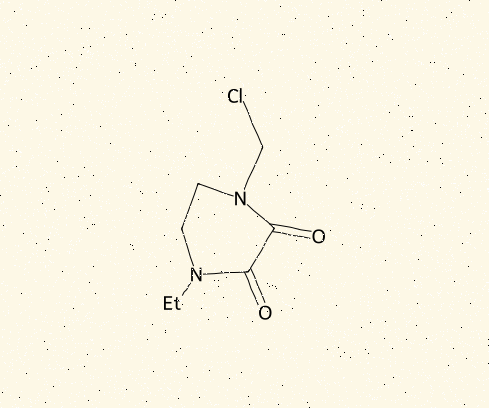 CCN1CCN(CCl)C(=O)C1=O